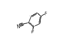 N#Cc1[c]cc(F)cc1F